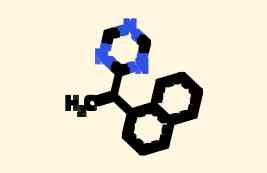 C=C(c1ncncn1)c1cccc2ccccc12